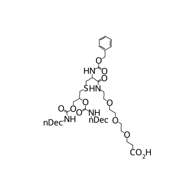 CCCCCCCCCCNC(=O)OCC(CSCC(NC(=O)OCc1ccccc1)C(=O)NCCOCCOCCOCCC(=O)O)OC(=O)NCCCCCCCCCC